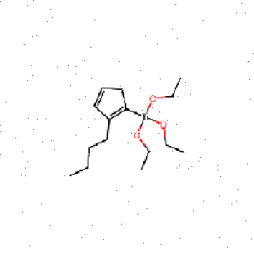 CCCCC1=[C]([Ti]([O]CC)([O]CC)[O]CC)CC=C1